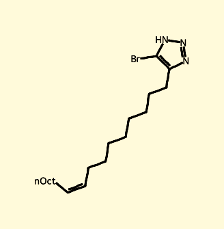 CCCCCCCC/C=C\CCCCCCCCc1nn[nH]c1Br